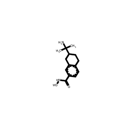 CC(C)(N)C1CCc2ccc(C(=O)NO)cc2C1